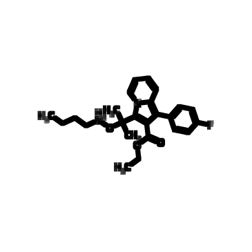 CCCC[SiH2]OC(C)(C)c1c(C(=O)OCC)c(-c2ccc(F)cc2)c2ccccn12